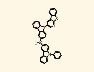 [O-][S+](c1ccc2c(c1)c1ccccc1n2-c1ccccc1)c1ccc2c(c1)c1ccccc1n2-c1cnc2sc3ccccc3c2c1